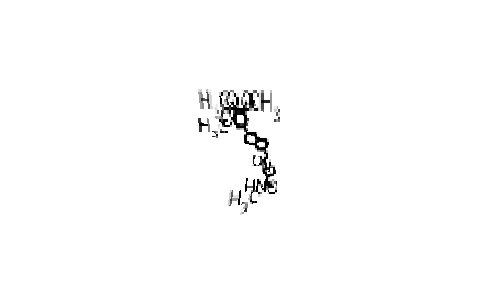 CCNC(=O)C1CCN(C(=O)Cc2ccc3cc(-c4cc(OC)c(OC)c(OC)c4)ccc3c2)C1